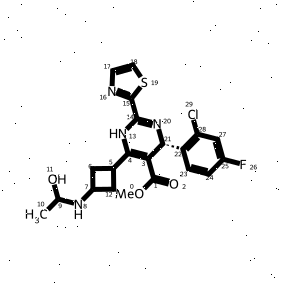 COC(=O)C1=C(C2CC(NC(C)O)C2)NC(c2nccs2)=N[C@@H]1c1ccc(F)cc1Cl